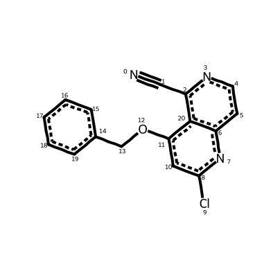 N#Cc1nccc2nc(Cl)cc(OCc3ccccc3)c12